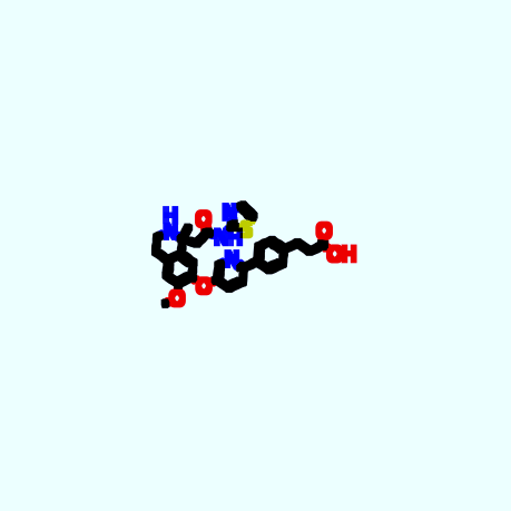 COc1cc2c(cc1Oc1ccc(-c3ccc(CCC(=O)O)cc3)nc1)C(C)(CC(=O)Nc1nccs1)NCC2